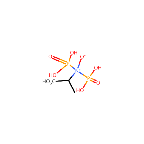 CC(C(=O)O)[N+]([O-])(P(=O)(O)O)P(=O)(O)O